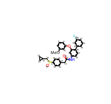 COc1cccc(Oc2cc(NC(=O)Cc3ccc([S+]([O-])CC4CC4)cc3)ccc2-c2cccc(F)c2)c1